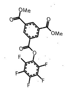 COC(=O)c1cc(C(=O)OC)cc(C(=O)Oc2c(F)c(F)c(F)c(F)c2F)c1